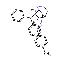 Cc1ccc(/C=N/[C@@H]2C3CCN(CC3)[C@H]2C(c2ccccc2)c2ccccc2)cc1